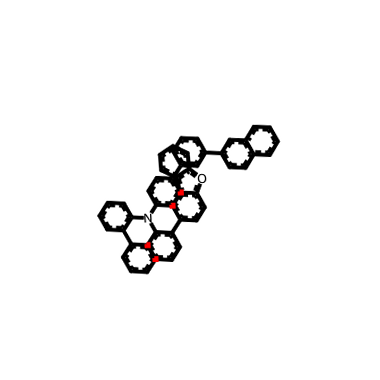 c1ccc(-c2ccccc2N(c2ccc(-c3cccc(-c4ccc5ccccc5c4)c3)cc2)c2ccccc2-c2ccc3oc4ccccc4c3c2)cc1